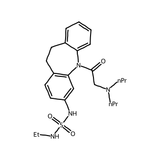 CCCN(CCC)CC(=O)N1c2ccccc2CCc2ccc(NS(=O)(=O)NCC)cc21